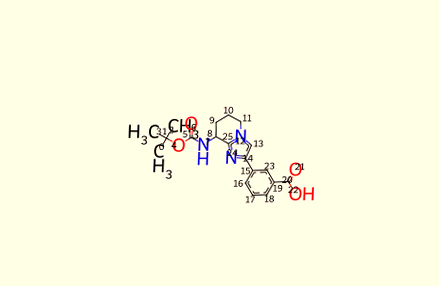 CC(C)(C)OC(=O)NC1CCCn2cc(-c3cccc(C(=O)O)c3)nc21